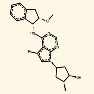 CO[C@H]1Cc2ccccc2[C@H]1Nc1ncnc2c1c(F)cn2[C@H]1C[C@@H](O)[C@@H](C)C1